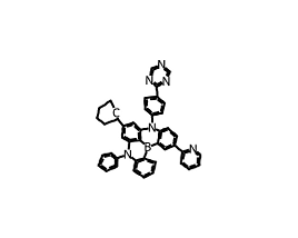 c1ccc(N2c3ccccc3B3c4cc(-c5ccccn5)ccc4N(c4ccc(-c5ncncn5)cc4)c4cc(C5CCCCC5)cc2c43)cc1